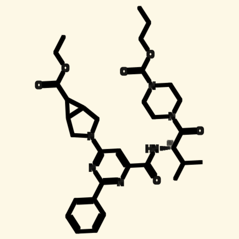 CCCOC(=O)N1CCN(C(=O)[C@@H](NC(=O)c2cc(N3CC4C(C3)C4C(=O)OCC)nc(-c3ccccc3)n2)C(C)C)CC1